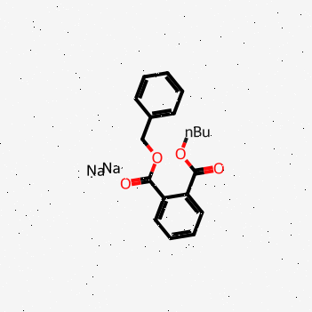 CCCCOC(=O)c1ccccc1C(=O)OCc1ccccc1.[Na].[Na]